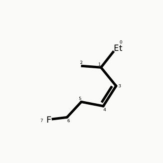 CCC(C)/C=C\CCF